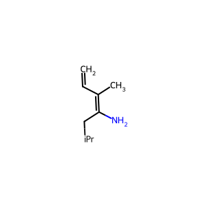 C=C/C(C)=C(/N)CC(C)C